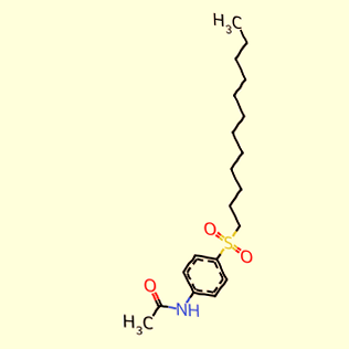 CCCCCCCCCCCCS(=O)(=O)c1ccc(NC(C)=O)cc1